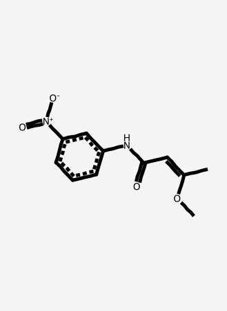 CO/C(C)=C\C(=O)Nc1cccc([N+](=O)[O-])c1